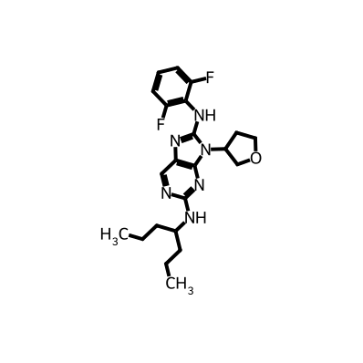 CCCC(CCC)Nc1ncc2nc(Nc3c(F)cccc3F)n(C3CCOC3)c2n1